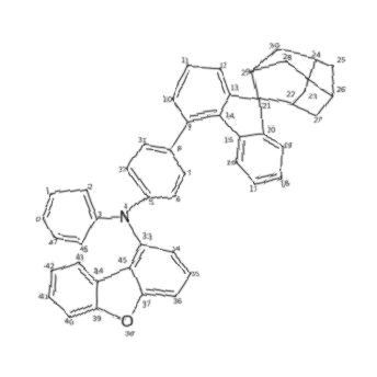 c1ccc(N(c2ccc(-c3cccc4c3-c3ccccc3C43C4CC5CC(C4)CC3C5)cc2)c2cccc3oc4ccccc4c23)cc1